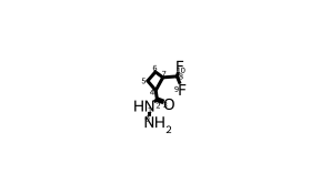 NNC(=O)C1CCC1C(F)F